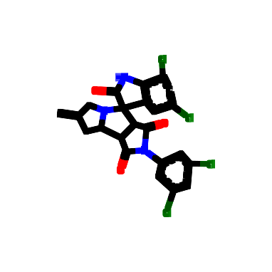 C=C1CC2C3C(=O)N(c4cc(Cl)cc(Cl)c4)C(=O)C3C3(C(=O)Nc4c(Cl)cc(Cl)cc43)N2C1